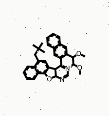 COC1c2cc3ccccc3cc2C2=[N+](C=NC3Oc4c(cc(CC(C)(C)C)c5ccccc45)C23)C1OC